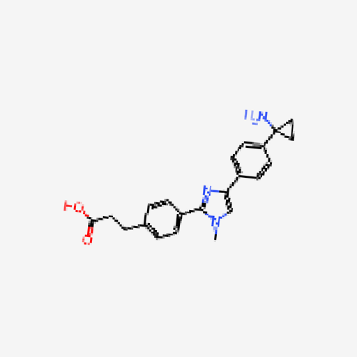 Cn1cc(-c2ccc(C3(N)CC3)cc2)nc1-c1ccc(CCC(=O)O)cc1